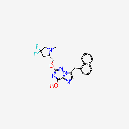 CN1CC(F)(F)C[C@H]1COc1nc(O)c2ncc(Cc3cccc4ccccc34)n2n1